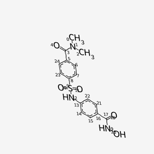 CN(C)C(=O)c1ccc(S(=O)(=O)Nc2ccc(C(=O)NO)cc2)cc1